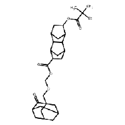 CCC(C)(C)C(=O)OC1CC2CC1C1C3CC(C(=O)OCOCC45CC6CC(CC(C6)C4=O)C5)C(C3)C21